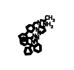 CCCN(Cc1ccc(-c2ccccc2-c2nnnn2C(c2ccccc2)(c2ccccc2)c2ccccc2)cc1)c1nnccc1N